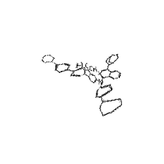 CC1(C)c2cc(-c3ccc(C4CCCCC4)cc3)ccc2-c2ccc(N(c3ccc(C4CCCCC4)cc3)c3ccc(C4CC5CCC4C5)c4ccccc34)cc21